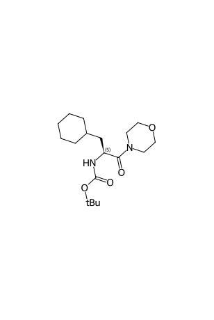 CC(C)(C)OC(=O)N[C@@H](CC1CCCCC1)C(=O)N1CCOCC1